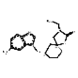 Cc1ccc2ncn(C[C@H]3CCC[C@]4(C3)CN(CC(C)(C)C)C(=O)O4)c2c1